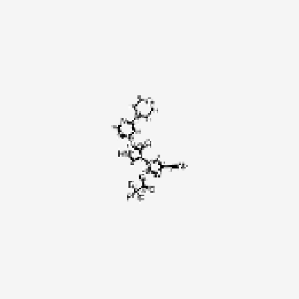 N#Cc1cn(-c2c[nH]n(-c3cc(N4CCOCC4)ncn3)c2=O)c(OC(=O)C(F)(F)F)n1